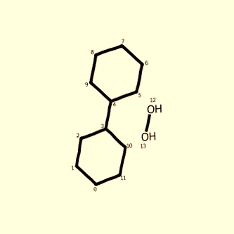 C1CCC(C2CCCCC2)CC1.OO